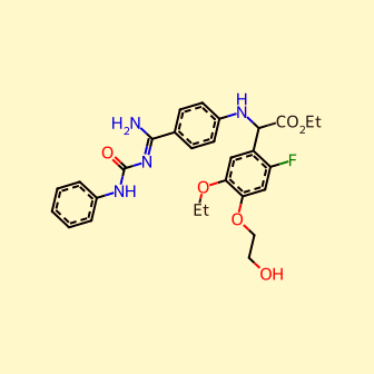 CCOC(=O)C(Nc1ccc(/C(N)=N/C(=O)Nc2ccccc2)cc1)c1cc(OCC)c(OCCO)cc1F